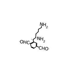 NCCCC[C@H](N)[CH]c1cc([C]=O)ccc1[C]=O